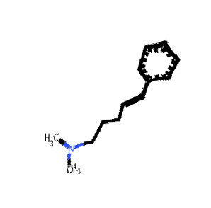 CN(C)CCCC=Cc1ccccc1